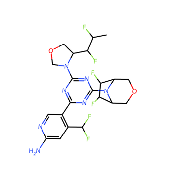 CC(F)C(F)C1COCN1c1nc(-c2cnc(N)cc2C(F)F)nc(N2C3COCC2C(F)C3F)n1